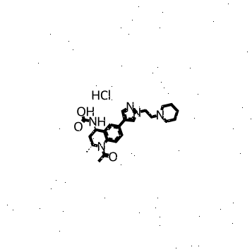 CC(=O)N1c2ccc(-c3cnn(CCN4CCCCC4)c3)cc2[C@@H](NC(=O)O)C[C@H]1C.Cl